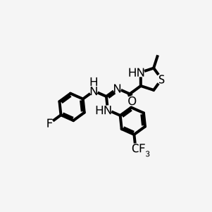 CC1NC(C(=O)/N=C(/Nc2ccc(F)cc2)Nc2cccc(C(F)(F)F)c2)CS1